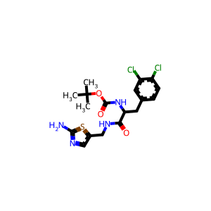 CC(C)(C)OC(=O)NC(Cc1ccc(Cl)c(Cl)c1)C(=O)NCc1cnc(N)s1